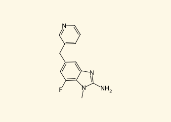 Cn1c(N)nc2cc(Cc3cccnc3)cc(F)c21